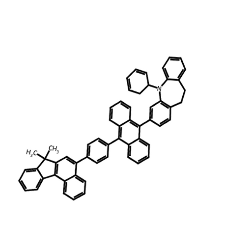 CC1(C)c2ccccc2-c2c1cc(-c1ccc(-c3c4ccccc4c(-c4ccc5c(c4)N(C4C=CC=CC4)c4ccccc4CC5)c4ccccc34)cc1)c1ccccc21